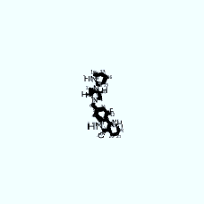 O=c1[nH]c2cc(CN3C[C@@H]4C[C@H]3CN4N3C=CC=CN3)cc(F)c2c2c1CCCN2